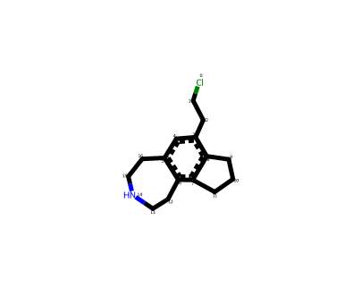 ClCCc1cc2c(c3c1CCC3)CCNCC2